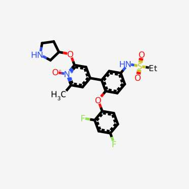 CCS(=O)(=O)Nc1ccc(Oc2ccc(F)cc2F)c(-c2cc(C)[n+]([O-])c(OC3CCNC3)c2)c1